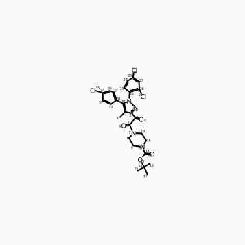 Cc1c(C(=O)C(=O)N2CCN(C(=O)OC(C)(C)C)CC2)nn(-c2ccc(Cl)cc2Cl)c1-c1ccc(Cl)cc1